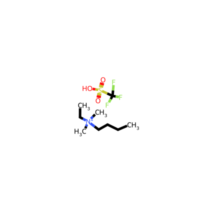 CCCC[N+](C)(C)CC.O=S(=O)(O)C(F)(F)F